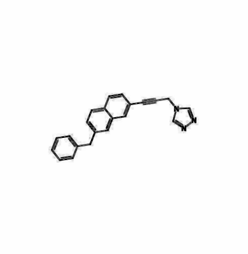 C(#Cc1ccc2ccc(Cc3ccccc3)cc2c1)Cn1cnnc1